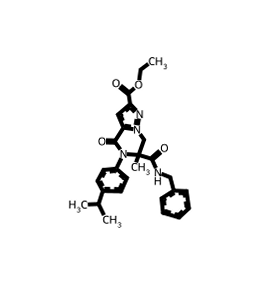 CCOC(=O)c1cc2n(n1)CC(C)(C(=O)NCc1ccccc1)N(c1ccc(C(C)C)cc1)C2=O